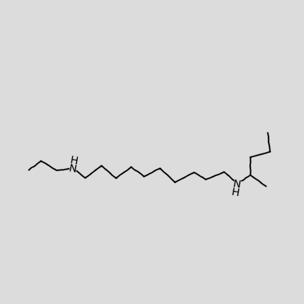 CCCNCCCCCCCCCCNC(C)CCC